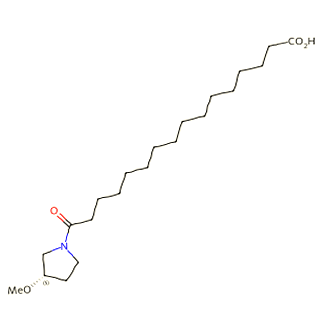 CO[C@H]1CCN(C(=O)CCCCCCCCCCCCCCC(=O)O)C1